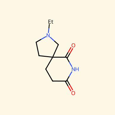 CCN1CCC2(CCC(=O)NC2=O)C1